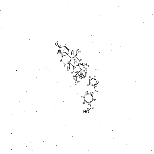 C[C@]12C=CC(=O)C=C1CC[C@@H]1[C@@H]2[C@@H](O)C[C@@]2(C)[C@H]1C[C@H]1O[C@@H](c3coc(Cc4cccc(CO)c4)c3)O[C@]12C(=O)CO